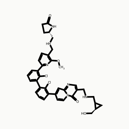 COc1nc(-c2cccc(-c3cccc(-c4ccn5c(=O)c(CNCC6C[C@H]6CO)cnc5c4)c3Cl)c2Cl)ccc1CNC[C@@H]1CCC(=O)N1